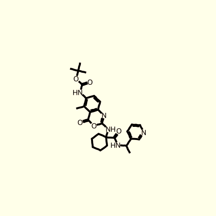 Cc1c(NC(=O)OC(C)(C)C)ccc2nc(NC3(C(=O)NC(C)c4cccnc4)CCCCC3)oc(=O)c12